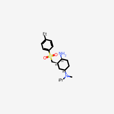 CCc1ccc(S(=O)(=O)C[C@@H]2C[C@H](N(C)C(C)C)CC[C@@H]2N)cc1